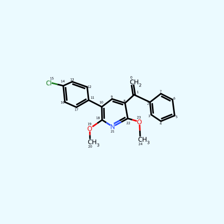 C=C(c1ccccc1)c1cc(-c2ccc(Cl)cc2)c(OC)nc1OC